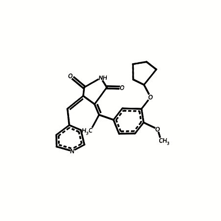 COc1ccc(/C(C)=C2\C(=O)NC(=O)\C2=C\c2ccncc2)cc1OC1CCCC1